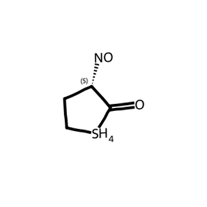 O=N[C@H]1CC[SH4]C1=O